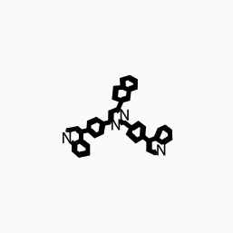 c1ccc2cc(-c3cc(-c4ccc(-c5ccnc6ccccc56)cc4)nc(-c4ccc(-c5ccnc6ccccc56)cc4)n3)ccc2c1